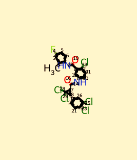 Cc1cc(F)ccc1NC(=O)c1cc(NC(=O)[C@H]2[C@H](c3ccc(Cl)c(Cl)c3)C2(Cl)Cl)ccc1Cl